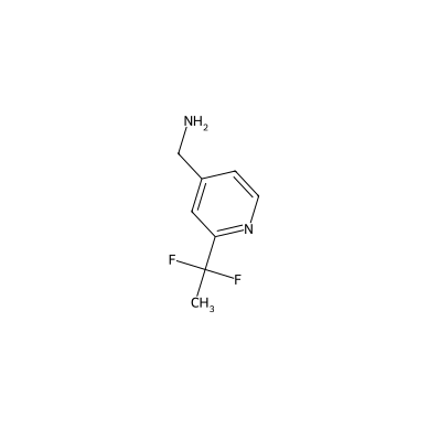 CC(F)(F)c1cc(CN)ccn1